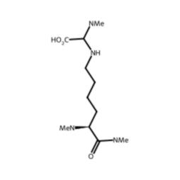 CNC(=O)[C@H](CCCCNC(NC)C(=O)O)NC